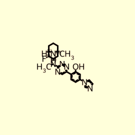 CN(c1ncc(-c2ccc(-n3ccnc3)cc2O)nn1)[C@@H]1C[C@@]2(C)CCC[C@H](N2)[C@@H]1F